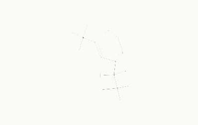 CC(C)(C)c1cccc(C(F)(F)C(C)(C)C)c1